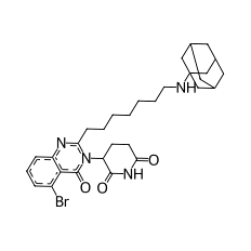 O=C1CCC(n2c(CCCCCCCNC34CC5CC(CC(C5)C3)C4)nc3cccc(Br)c3c2=O)C(=O)N1